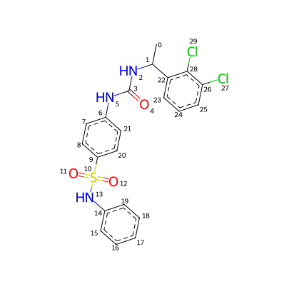 CC(NC(=O)Nc1ccc(S(=O)(=O)Nc2ccccc2)cc1)c1cccc(Cl)c1Cl